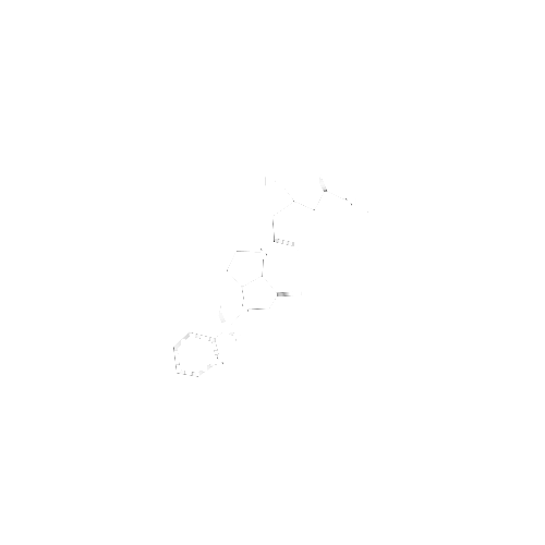 CC(CC(N)=O)CC(=O)N1CCC2C1C(=O)CN2S(=O)(=O)c1ccccn1